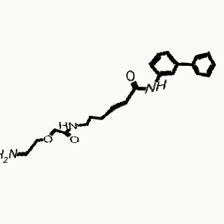 NCCOCC(=O)NCCCCCC(=O)Nc1cccc(-c2ccccc2)c1